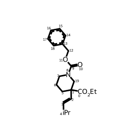 CCOC(=O)C1(C=CC(C)C)CCCN(C(=O)OCc2ccccc2)C1